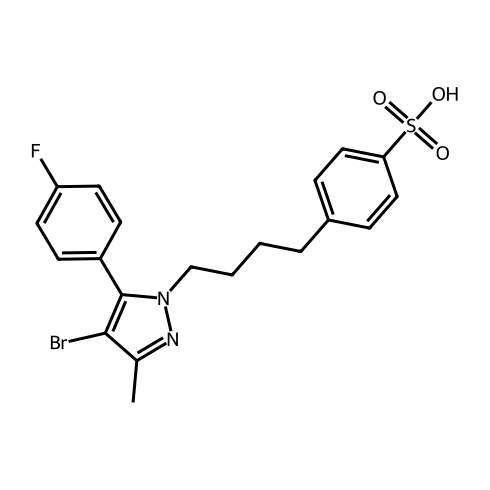 Cc1nn(CCCCc2ccc(S(=O)(=O)O)cc2)c(-c2ccc(F)cc2)c1Br